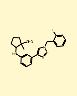 CC1(C=O)CCCC1Nc1cccc(-c2cn(Cc3ccccc3F)nn2)c1